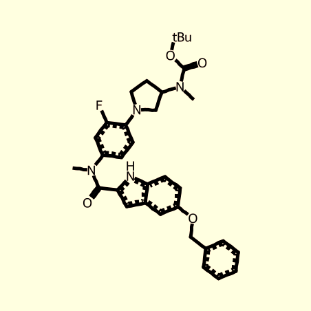 CN(C(=O)c1cc2cc(OCc3ccccc3)ccc2[nH]1)c1ccc(N2CCC(N(C)C(=O)OC(C)(C)C)C2)c(F)c1